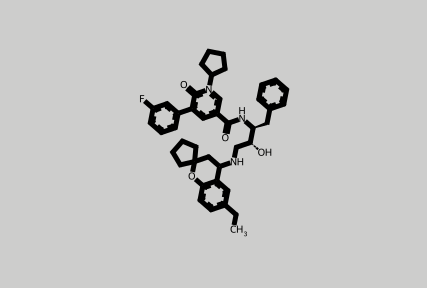 CCc1ccc2c(c1)C(NC[C@@H](O)[C@H](Cc1ccccc1)NC(=O)c1cc(-c3cccc(F)c3)c(=O)n(C3CCCC3)c1)CC1(CCCC1)O2